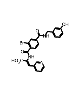 O=C(O)C(=Cc1cccnc1)NC(=O)c1ccc(C(=O)NCc2cccc(O)c2)cc1Br